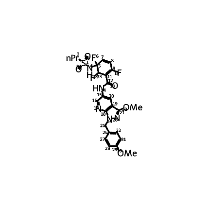 CCCS(=O)(=O)NC1(F)C=CC(F)=C(C(=O)Nc2cnc3c(c2)c(OC)nn3Cc2ccc(OC)cc2)C1F